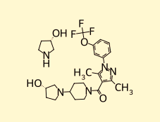 Cc1nn(-c2cccc(OC(F)(F)F)c2)c(C)c1C(=O)N1CCC(N2CC[C@H](O)C2)CC1.O[C@H]1CCNC1